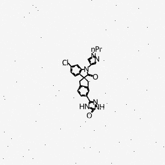 CCCn1cc(N2C(=O)C3(Cc4ccc(-c5n[nH]c(=O)[nH]5)cc4C3)c3ccc(Cl)cc32)cn1